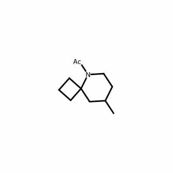 CC(=O)N1CCC(C)CC12CCC2